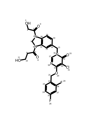 O=C(CO)N1CN(C(=O)CCO)c2cc(Cn3cnc(OCc4ccc(F)cc4F)c(Cl)c3=O)ccc21